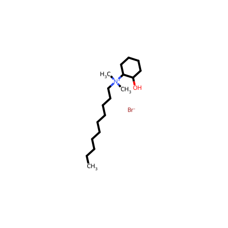 CCCCCCCCCC[N+](C)(C)C1CCCCC1O.[Br-]